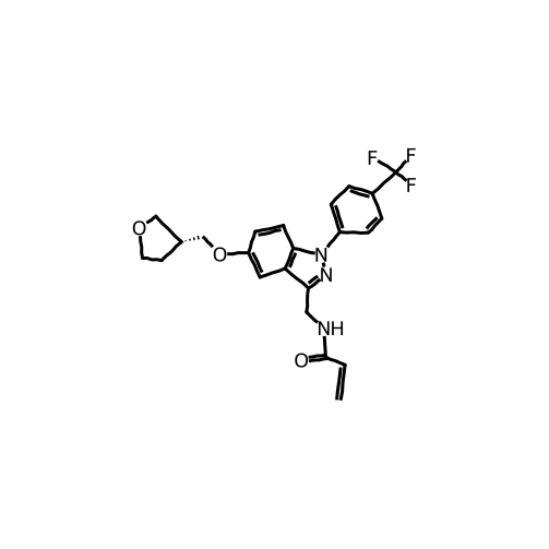 C=CC(=O)NCc1nn(-c2ccc(C(F)(F)F)cc2)c2ccc(OC[C@@H]3CCOC3)cc12